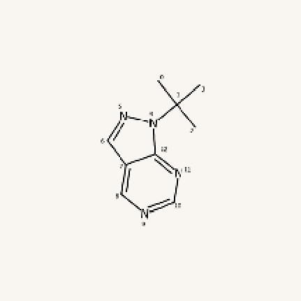 CC(C)(C)n1ncc2cncnc21